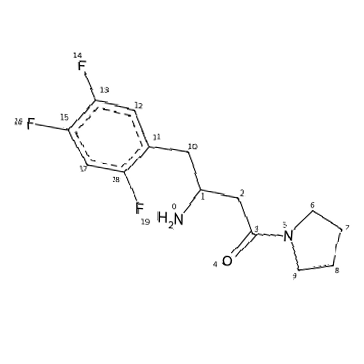 NC(CC(=O)N1CCCC1)Cc1cc(F)c(F)cc1F